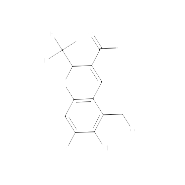 Cc1cc2c(c(CO)c1Cl)C=C(C(=O)O)C(C(F)(F)F)O2